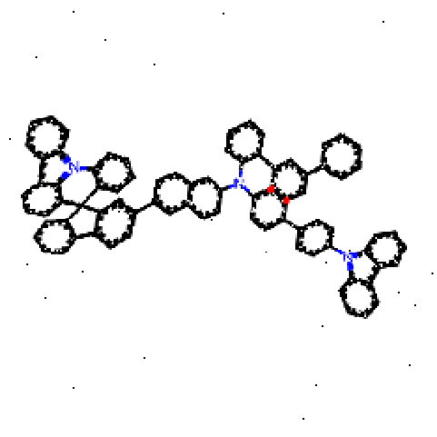 c1ccc(-c2cccc(-c3ccccc3N(c3ccc(-c4ccc(-n5c6ccccc6c6ccccc65)cc4)cc3)c3ccc4cc(-c5ccc6c(c5)C5(c7ccccc7-6)c6ccccc6-n6c7ccccc7c7cccc5c76)ccc4c3)c2)cc1